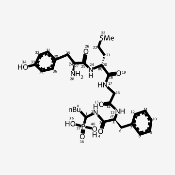 CCCCC(NC(=O)[C@H](Cc1ccccc1)NC(=O)CNC(=O)[C@@H](CCSC)NC(=O)[C@@H](N)Cc1ccc(O)cc1)P(=O)(O)O